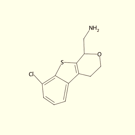 NCC1OCCc2c1sc1c(Cl)cccc21